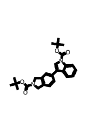 CC(C)(C)OC(=O)N1Cc2ccc(-c3cn(C(=O)OC(C)(C)C)c4ccccc34)cc2C1